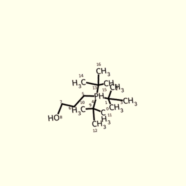 CC(C)(C)[PH](CCCO)(C(C)(C)C)C(C)(C)C